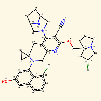 N#Cc1c(OC[C@@]23CCCN2C[C@H](F)C3)nc2c(c1N1CC3CCC(C1)N3)CC1(CC1)N(c1cc(O)cc3cccc(Cl)c13)C2